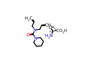 C=CCN(CC=C)C(=O)N1CCCCC1.C[C@H](N)C(=O)O